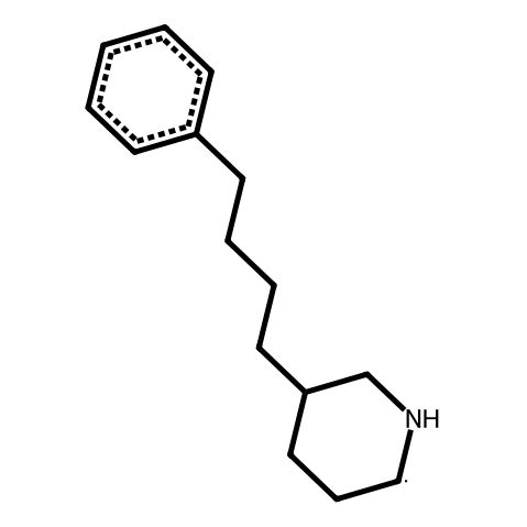 [CH]1CCC(CCCCc2ccccc2)CN1